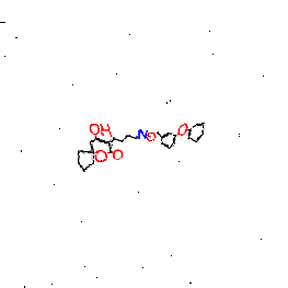 O=C1OC2(CCCC2)CC(O)=C1CCCC=NOCc1cccc(Oc2ccccc2)c1